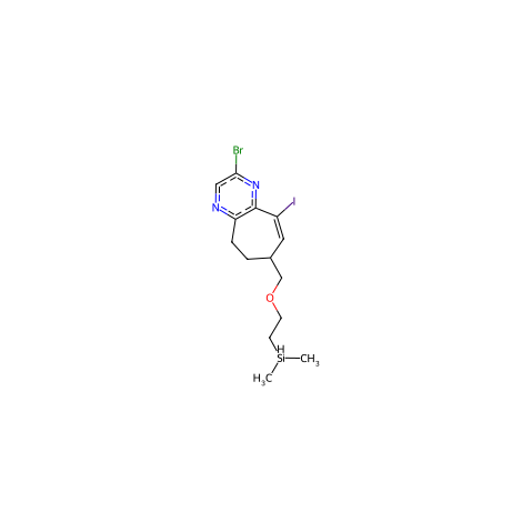 C[SiH](C)CCOCC1C=C(I)c2nc(Br)cnc2CC1